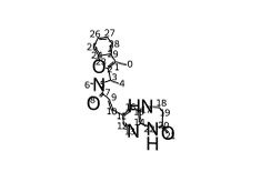 Cc1c(C(C)N(C)C(=O)C=Cc2cnc3c(c2)NCCC(=O)N3)oc2ccccc12